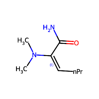 CCC/C=C(\C(N)=O)N(C)C